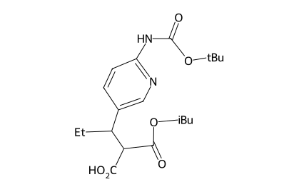 CCC(C)OC(=O)C(C(=O)O)C(CC)c1ccc(NC(=O)OC(C)(C)C)nc1